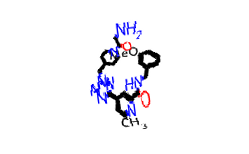 COc1cccc(CNC(=O)c2cc(-c3nnn(CC4CCN(C(=O)CN)CC4)n3)cc(C)n2)c1